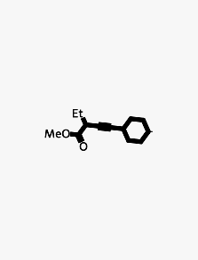 CCC(C#CC1CC[CH]CC1)C(=O)OC